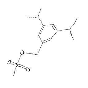 CC(C)c1cc(COS(C)(=O)=O)cc(C(C)C)c1